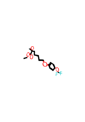 CCOC(=O)C1(CCCCCOc2ccc(OC(F)F)cc2)CO1